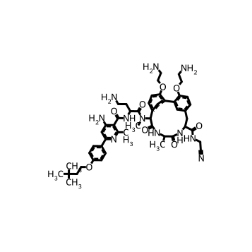 Cc1nc(-c2ccc(OCCC(C)(C)C)cc2)cc(N)c1C(=O)NC(CCN)C(=O)N(C)C1C(=O)NC(C)C(=O)NC(C(=O)NCC#N)Cc2ccc(OCCN)c(c2)-c2cc1ccc2OCCN